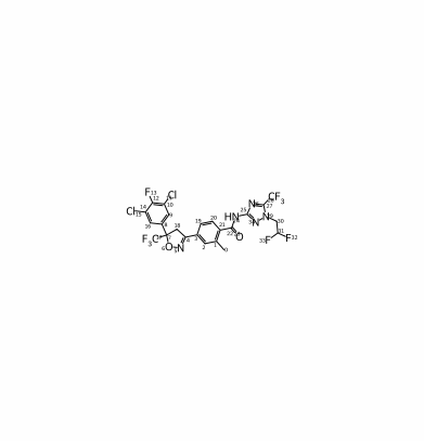 Cc1cc(C2=NOC(c3cc(Cl)c(F)c(Cl)c3)(C(F)(F)F)C2)ccc1C(=O)Nc1nc(C(F)(F)F)n(CC(F)F)n1